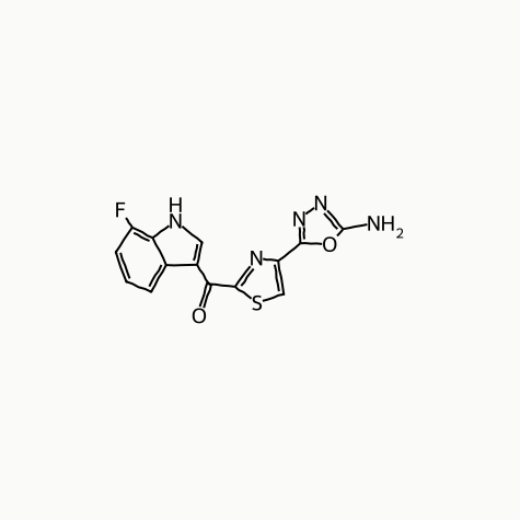 Nc1nnc(-c2csc(C(=O)c3c[nH]c4c(F)cccc34)n2)o1